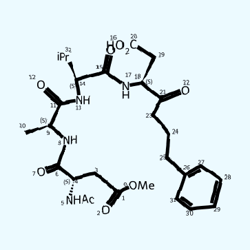 COC(=O)C[C@H](NC(C)=O)C(=O)N[C@@H](C)C(=O)N[C@H](C(=O)N[C@@H](CC(=O)O)C(=O)CCCc1ccccc1)C(C)C